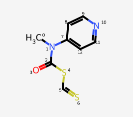 CN(C(=O)SC=S)c1ccncc1